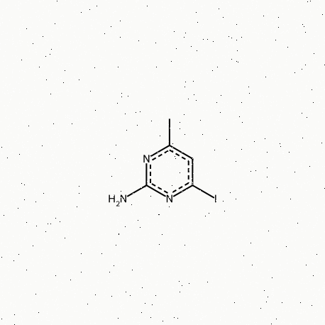 Cc1cc(I)nc(N)n1